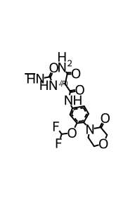 CCNC(=O)N[C@H](C(N)=O)C(=O)Nc1ccc(N2CCOCC2=O)c(OC(F)F)c1